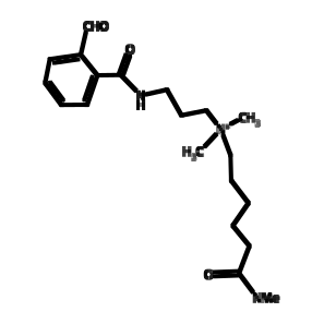 CNC(=O)CCCCC[N+](C)(C)CCCNC(=O)c1ccccc1C=O